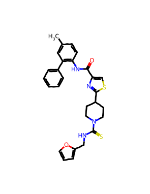 Cc1ccc(NC(=O)c2csc(C3CCN(C(=S)NCc4ccco4)CC3)n2)c(-c2ccccc2)c1